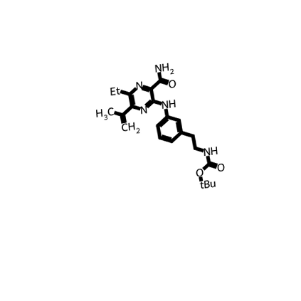 C=C(C)c1nc(Nc2cccc(CCNC(=O)OC(C)(C)C)c2)c(C(N)=O)nc1CC